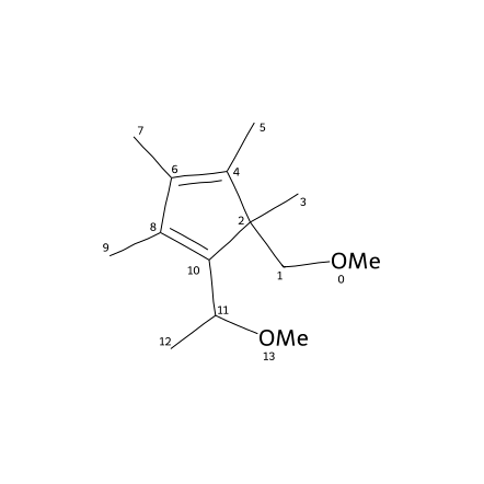 COCC1(C)C(C)=C(C)C(C)=C1C(C)OC